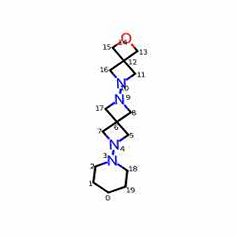 C1CCN(N2CC3(C2)CN(N2CC4(COC4)C2)C3)CC1